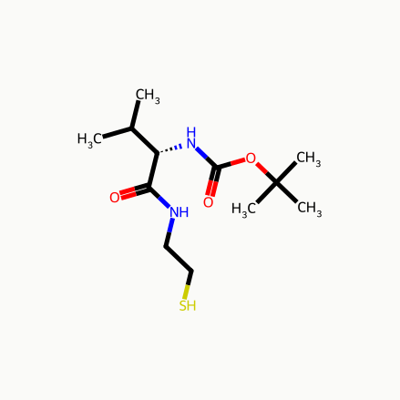 CC(C)[C@H](NC(=O)OC(C)(C)C)C(=O)NCCS